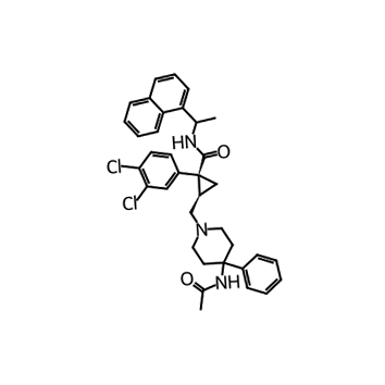 CC(=O)NC1(c2ccccc2)CCN(C[C@@H]2C[C@@]2(C(=O)NC(C)c2cccc3ccccc23)c2ccc(Cl)c(Cl)c2)CC1